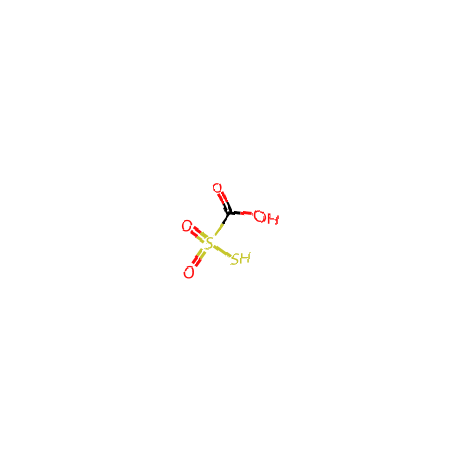 O=C(O)S(=O)(=O)S